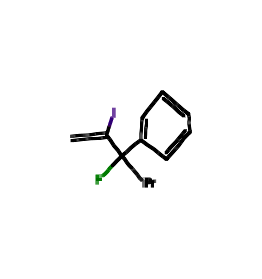 C=C(I)C(F)(c1ccccc1)C(C)C